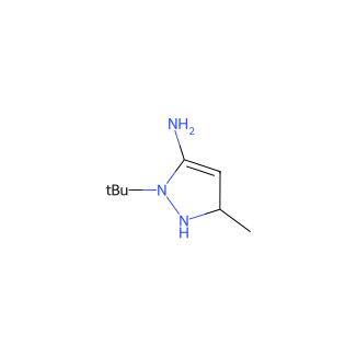 CC1C=C(N)N(C(C)(C)C)N1